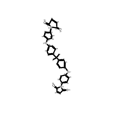 CC(C)(c1ccc(Oc2ccc(N3C(=O)C=CC3=O)cc2)cc1)c1ccc(Oc2ccc(N3C(=O)C=CC3=O)cc2)cc1